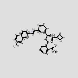 O=C(O)c1ccccc1CCC(NC(=O)C1CCC1)c1cccc(/C=C/c2ccc3ccc(Cl)cc3n2)c1